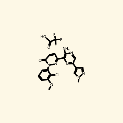 COc1cccc(-n2nc(-c3nc(-c4cnn(C)c4)cnc3N)ccc2=O)c1Cl.O=C(O)C(F)(F)F